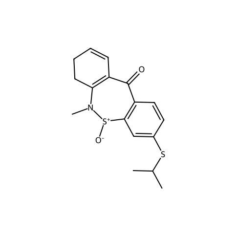 CC(C)Sc1ccc2c(c1)[S+]([O-])N(C)C1=C(C=CCC1)C2=O